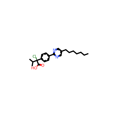 CCCCCCCc1cnc(-c2ccc([C@](Cl)(C(=O)O)C(C)C)cc2)nc1